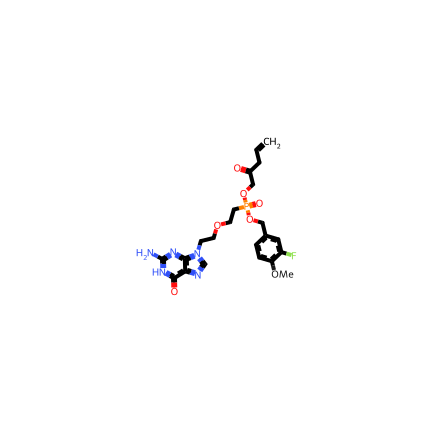 C=CCC(=O)COP(=O)(CCOCCn1cnc2c(=O)[nH]c(N)nc21)OCc1ccc(OC)c(F)c1